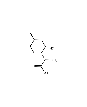 C[C@H]1CC[C@H](C(N)C(=O)O)CC1.Cl